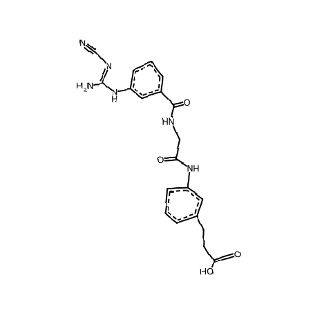 N#CN=C(N)Nc1cccc(C(=O)NCC(=O)Nc2cccc(CCC(=O)O)c2)c1